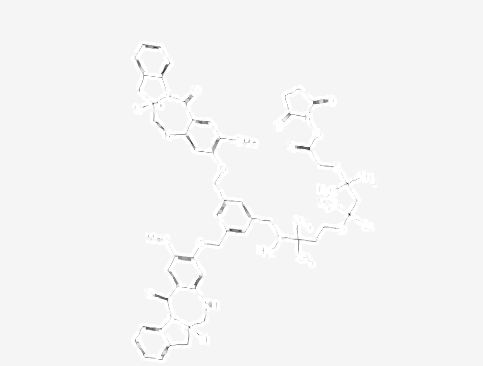 CCC(C)(CC(C)(C)SCC(=O)ON1C(=O)CCC1=O)OCCC(C)(C)N(C)Cc1cc(COc2cc3c(cc2OC)C(=O)N2c4ccccc4C[C@H]2C=N3)cc(COc2cc3c(cc2OC)C(=O)N2c4ccccc4C[C@H]2CN3)c1